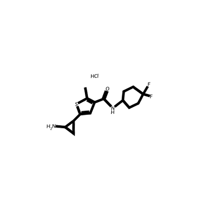 Cc1sc(C2CC2N)cc1C(=O)NC1CCC(F)(F)CC1.Cl